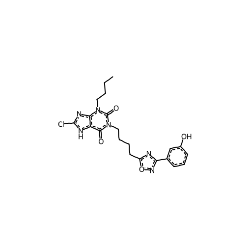 CCCCn1c(=O)n(CCCCc2nc(-c3cccc(O)c3)no2)c(=O)c2[nH]c(Cl)nc21